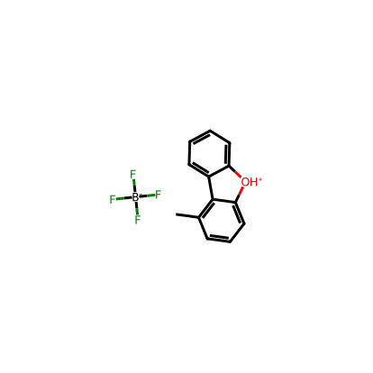 Cc1cccc2[oH+]c3ccccc3c12.F[B-](F)(F)F